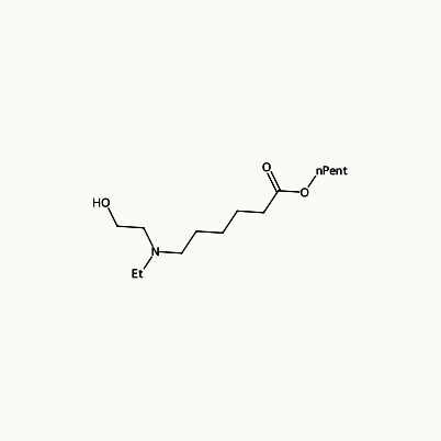 CCCCCOC(=O)CCCCCN(CC)CCO